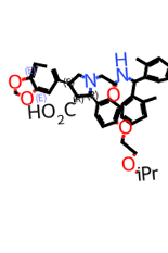 C=C(/C=C1/OCO/C1=C/C)[C@H]1CN(CC(=O)NC(c2ccccc2C)c2ccccc2C)[C@@H](c2ccc(OCCOC(C)C)cc2)[C@@H]1C(=O)O